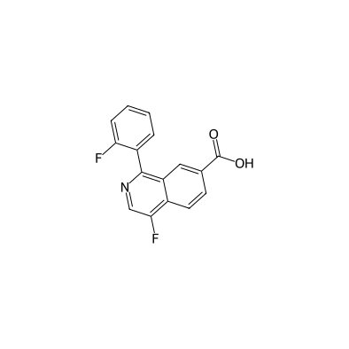 O=C(O)c1ccc2c(F)cnc(-c3ccccc3F)c2c1